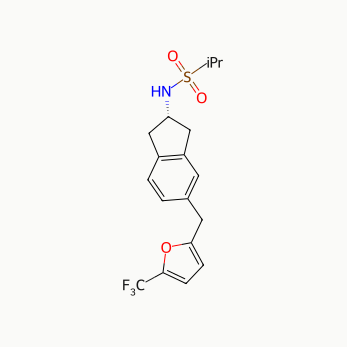 CC(C)S(=O)(=O)N[C@H]1Cc2ccc(Cc3ccc(C(F)(F)F)o3)cc2C1